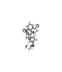 O=C1CCN2c3c1cccc3C(=O)NC2c1ccc(SC(F)(F)F)cc1